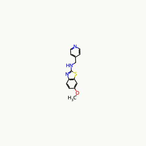 COc1ccc2nc(NCc3ccncc3)sc2c1